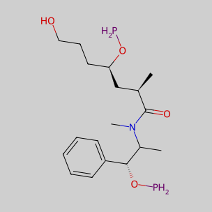 CC([C@H](OP)c1ccccc1)N(C)C(=O)[C@H](C)C[C@@H](CCCO)OP